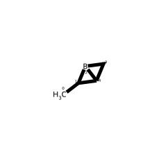 CC1B2CC21